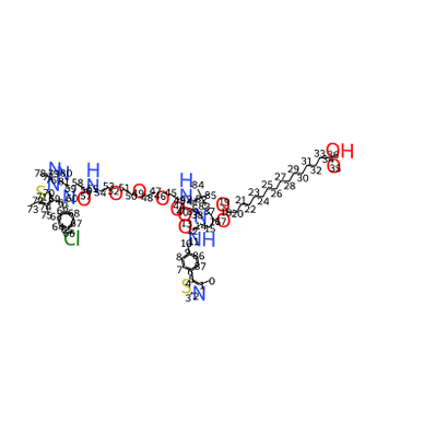 Cc1ncsc1-c1ccc(CNC(=O)[C@@H]2C[C@@H](OC(=O)CCCCCCCCCCCCCCC(=O)O)CN2C(=O)[C@@H](NC(=O)COCCOCCOCCNC(=O)C[C@@H]2N=C(c3ccc(Cl)cc3)c3c(sc(C)c3C)-n3c(C)nnc32)C(C)(C)C)cc1